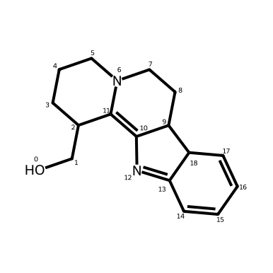 OCC1CCCN2CCC3C(=C12)N=C1C=CC=CC13